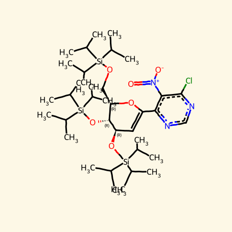 CC(C)[Si](OC[C@H]1OC(c2ncnc(Cl)c2[N+](=O)[O-])=C[C@@H](O[Si](C(C)C)(C(C)C)C(C)C)[C@@H]1O[Si](C(C)C)(C(C)C)C(C)C)(C(C)C)C(C)C